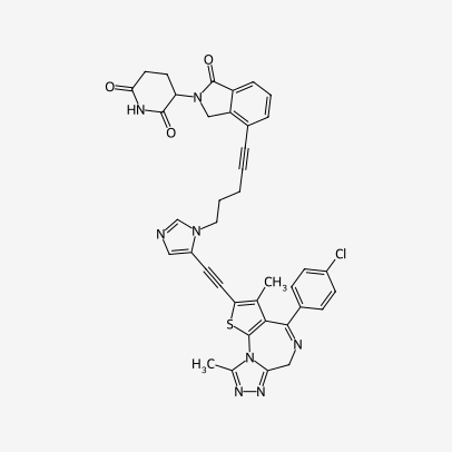 Cc1c(C#Cc2cncn2CCCC#Cc2cccc3c2CN(C2CCC(=O)NC2=O)C3=O)sc2c1C(c1ccc(Cl)cc1)=NCc1nnc(C)n1-2